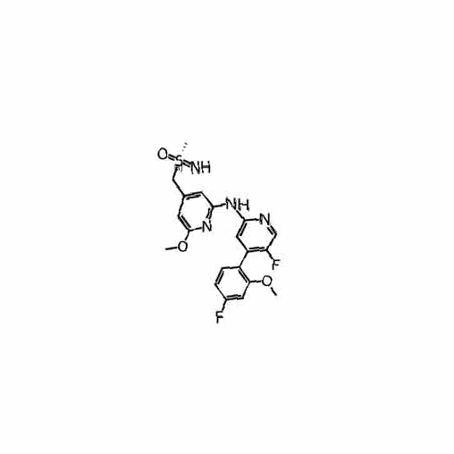 COc1cc(C[S@](C)(=N)=O)cc(Nc2cc(-c3ccc(F)cc3OC)c(F)cn2)n1